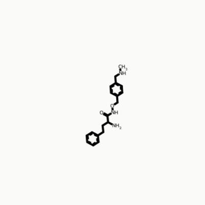 CNCc1ccc(CONC(=O)C(N)CCc2ccccc2)cc1